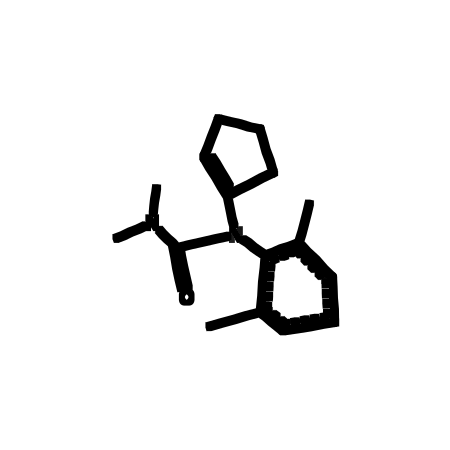 Cc1cccc(C)c1N(C(=O)N(C)C)C1=CCCC1